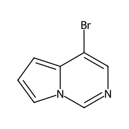 Brc1cncn2cccc12